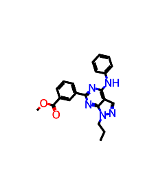 CCCn1ncc2c(Nc3ccccc3)nc(-c3cccc(C(=O)OC)c3)nc21